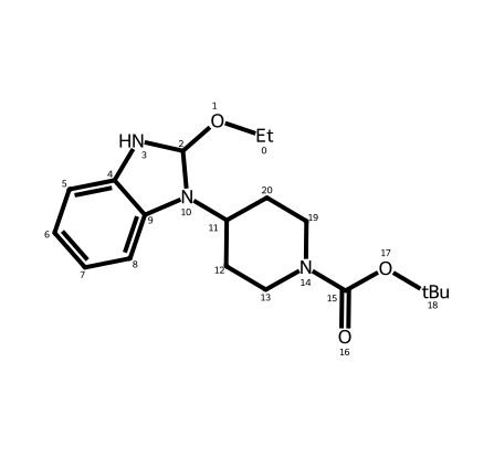 CCOC1Nc2ccccc2N1C1CCN(C(=O)OC(C)(C)C)CC1